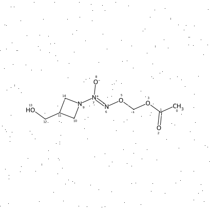 CC(=O)OCO/N=[N+](\[O-])N1CC(CO)C1